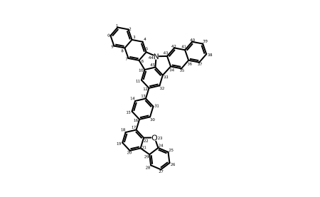 c1ccc2cc3c(cc2c1)c1cc(-c2ccc(-c4cccc5c4oc4ccccc45)cc2)cc2c4cc5ccccc5cc4n3c12